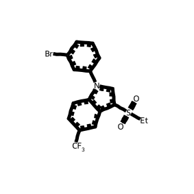 CCS(=O)(=O)c1cn(-c2cccc(Br)c2)c2ccc(C(F)(F)F)cc12